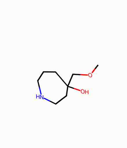 COCC1(O)CCCNCC1